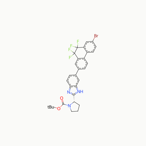 CC(C)(C)OC(=O)N1CCC[C@H]1c1nc2ccc(-c3ccc4c(c3)C(F)(F)C(F)(F)c3cc(Br)ccc3-4)cc2[nH]1